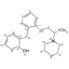 CC(COc1ccccc1Cc1ccccc1O)N1CCCCC1